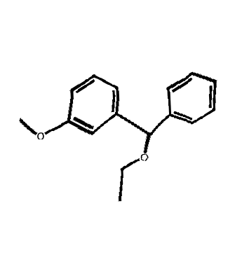 CCOC(c1ccccc1)c1cccc(OC)c1